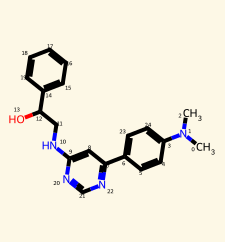 CN(C)c1ccc(-c2cc(NCC(O)c3ccccc3)ncn2)cc1